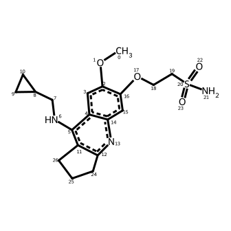 COc1cc2c(NCC3CC3)c3c(nc2cc1OCCS(N)(=O)=O)CCC3